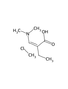 CCC(=CN(C)C)C(=O)O.CCl